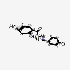 O=C(N/N=C/c1ccc(Cl)cc1)c1ccc(O)cc1O